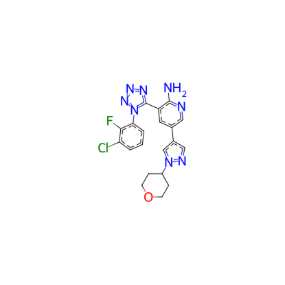 Nc1ncc(-c2cnn(C3CCOCC3)c2)cc1-c1nnnn1-c1cccc(Cl)c1F